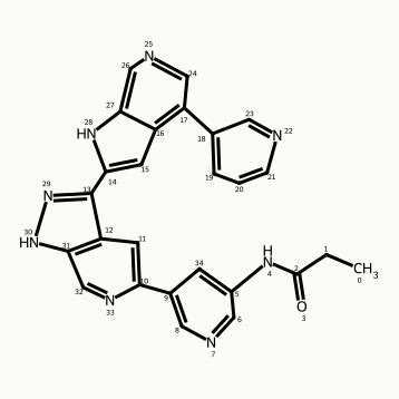 CCC(=O)Nc1cncc(-c2cc3c(-c4cc5c(-c6cccnc6)cncc5[nH]4)n[nH]c3cn2)c1